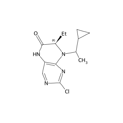 CC[C@@H]1C(=O)Nc2cnc(Cl)nc2N1C(C)C1CC1